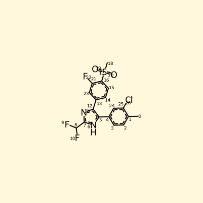 Cc1ccc(-c2[nH]c(C(F)F)nc2-c2ccc(S(C)(=O)=O)c(F)c2)cc1Cl